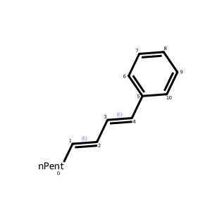 CCCCC/C=C/C=C/c1ccccc1